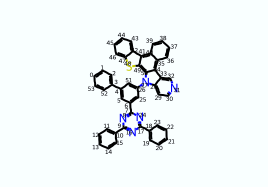 c1ccc(-c2cc(-c3nc(-c4ccccc4)nc(-c4ccccc4)n3)cc(-n3c4ccncc4c4c5ccccc5c5c6ccccc6sc5c43)c2)cc1